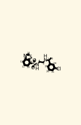 CC(NCCNS(=O)(=O)c1cccc2ncsc12)c1cccc(Cl)c1